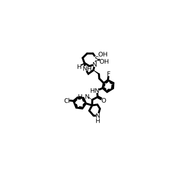 N[C@H](C(=O)Nc1cccc(F)c1CC[C@H]1CN[C@@H]2CCCS(O)(O)N1C2)C1(c2ccc(Cl)cc2)CCNCC1